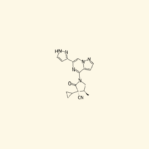 C[C@@H]1CN(c2nc(-c3cc[nH]n3)cn3nccc23)C(=O)[C@]1(C#N)C1CC1